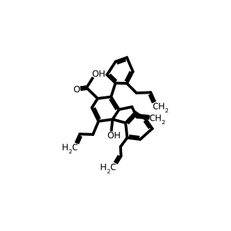 C=CCC1=CC(C(=O)O)C(c2ccccc2CC=C)=C(CC=C)C1(O)c1ccccc1CC=C